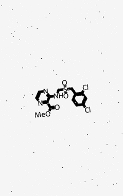 COC(=O)c1nccnc1NCS(=O)(=O)Cc1ccc(Cl)cc1Cl